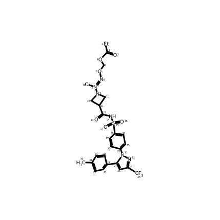 CCC(=O)OCON=[N+]([O-])N1CC(C(=O)NS(=O)(=O)c2ccc(-n3nc(C(F)(F)F)cc3-c3ccc(C)cc3)cc2)C1